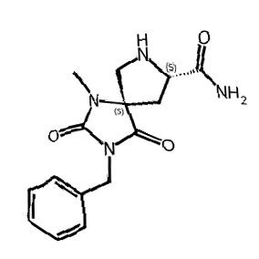 CN1C(=O)N(Cc2ccccc2)C(=O)[C@]12CN[C@H](C(N)=O)C2